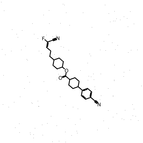 N#C/C(F)=C\CCC1CCC(OC(=O)C2CCC(c3ccc(C#N)cc3)CC2)CC1